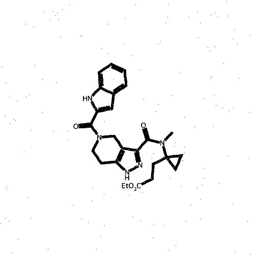 CCOC(=O)CCC1(N(C)C(=O)c2n[nH]c3c2CN(C(=O)c2cc4ccccc4[nH]2)CC3)CC1